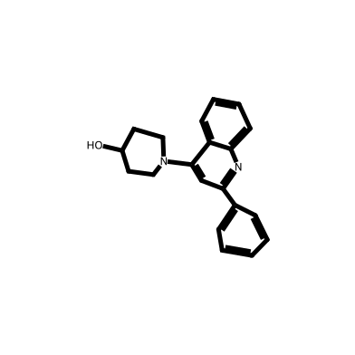 OC1CCN(c2cc(-c3ccccc3)nc3ccccc23)CC1